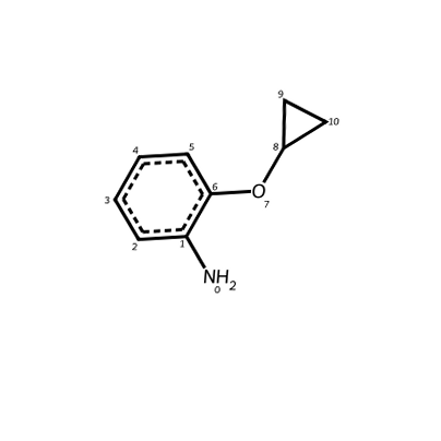 Nc1ccccc1OC1CC1